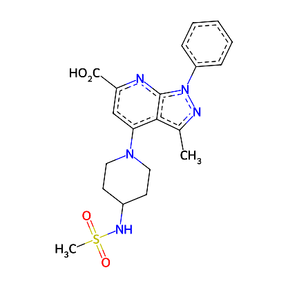 Cc1nn(-c2ccccc2)c2nc(C(=O)O)cc(N3CCC(NS(C)(=O)=O)CC3)c12